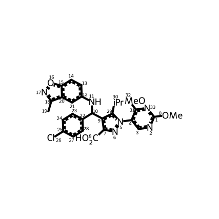 COc1ncc(-n2nc(C(=O)O)c(C(Nc3ccc4onc(C)c4c3)c3ccc(Cl)cc3)c2C(C)C)c(OC)n1